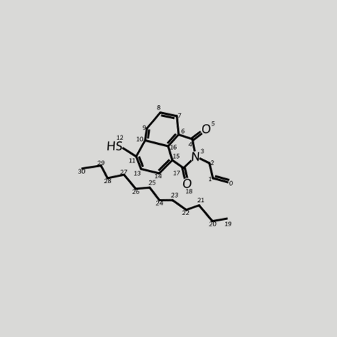 C=CCN1C(=O)c2cccc3c(S)ccc(c23)C1=O.CCCCCCCCCCCC